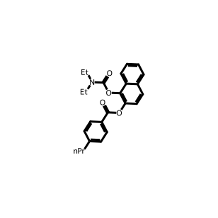 CCCc1ccc(C(=O)Oc2ccc3ccccc3c2OC(=O)N(CC)CC)cc1